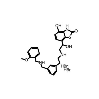 Br.Br.COc1ccccc1CNCc1cccc(CCNCC(O)c2ccc(O)c3[nH]c(=O)sc23)c1